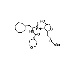 CCCCOCC[C@@H]1OC[C@H](O)[C@H]1NC(=O)[C@H](CC1CCCCCCC1)NC(=O)N1CCOCC1